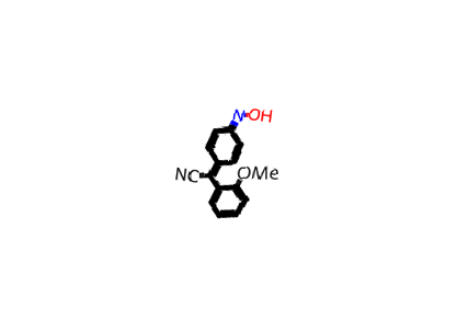 COc1ccccc1C(C#N)=C1C=CC(=NO)C=C1